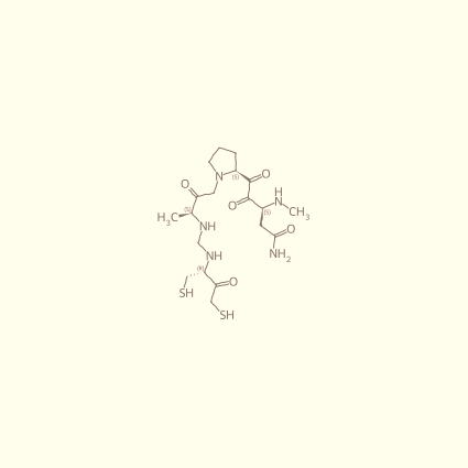 CN[C@@H](CC(N)=O)C(=O)C(=O)[C@@H]1CCCN1CC(=O)[C@H](C)NCN[C@@H](CS)C(=O)CS